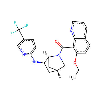 CCOc1ccc2cccnc2c1C(=O)N1C[C@@H]2C[C@@H](Nc3ccc(C(F)(F)F)cn3)[C@@H]1C2